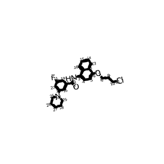 O=C(Nc1ccc(OCCCCl)c2ccccc12)c1cc(F)cc(N2CCCCC2)c1